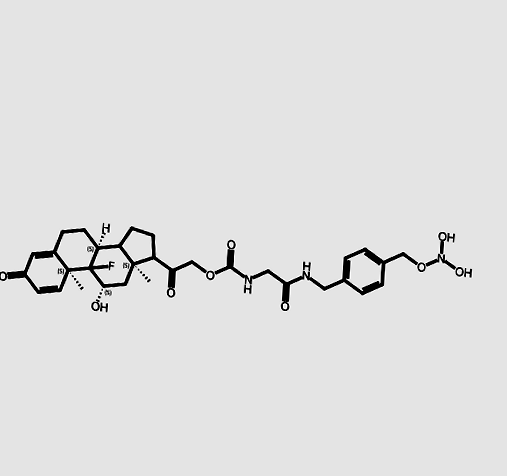 C[C@]12C[C@H](O)C3(F)[C@@H](CCC4=CC(=O)C=C[C@@]43C)C1CCC2C(=O)COC(=O)NCC(=O)NCc1ccc(CON(O)O)cc1